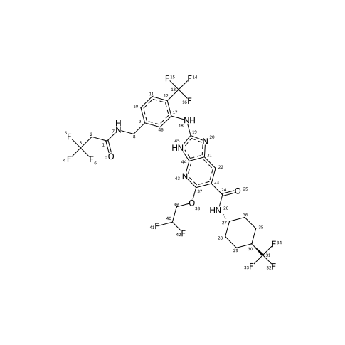 O=C(CC(F)(F)F)NCc1ccc(C(F)(F)F)c(Nc2nc3cc(C(=O)N[C@H]4CC[C@H](C(F)(F)F)CC4)c(OCC(F)F)nc3[nH]2)c1